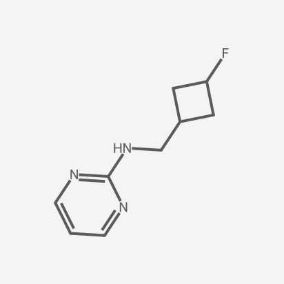 FC1CC(CNc2ncccn2)C1